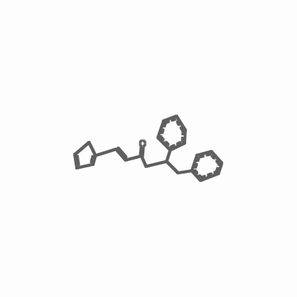 O=C(/C=C/C1=CC=CC1)CC(Cc1ccccc1)c1ccccc1